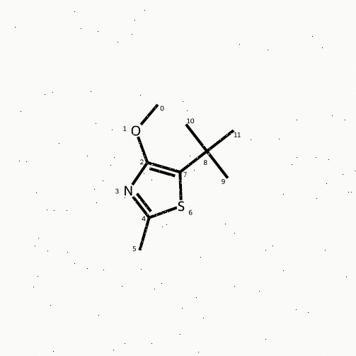 COc1nc(C)sc1C(C)(C)C